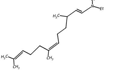 CCN(C=CC(C)CCC=C(C)CCC=C(C)C)CC